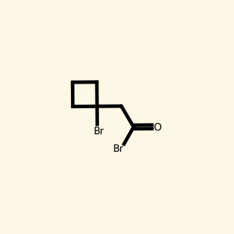 O=C(Br)CC1(Br)CCC1